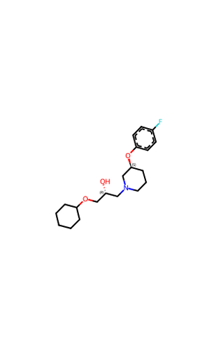 O[C@@H](COC1CCCCC1)CN1CCC[C@H](Oc2ccc(F)cc2)C1